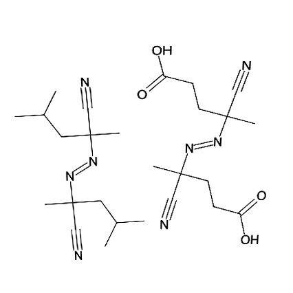 CC(C#N)(CCC(=O)O)/N=N/C(C)(C#N)CCC(=O)O.CC(C)CC(C)(C#N)/N=N/C(C)(C#N)CC(C)C